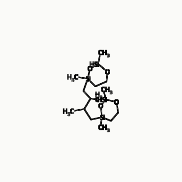 CC(C[Si]1(C)CCO[SiH](C)O1)C(C)C[Si]1(C)CCO[SiH](C)O1